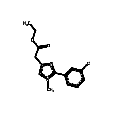 CCOC(=O)Cc1cn(C)c(-c2cccc(Cl)c2)n1